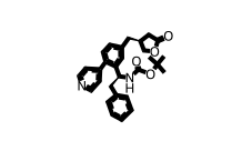 CC(C)(C)OC(=O)N[C@@H](Cc1ccccc1)c1cc(C[C@@H]2COC(=O)C2)ccc1-c1ccncc1